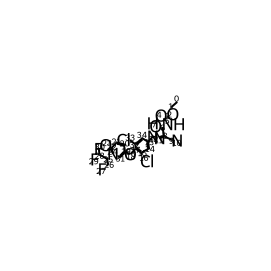 CCOC(=O)NC(=O)C(C#N)=NNc1cc(Cl)c(Oc2ccc(=O)n(C(CF)C(F)F)c2)c(Cl)c1